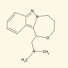 CN(C)CC1OCCCn2nc3ccccc3c21